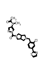 CC(=O)N(C)c1cnn(C(=O)N2CC3CN(Cc4ccc(-c5nccs5)cc4Cl)CC3C2)c1